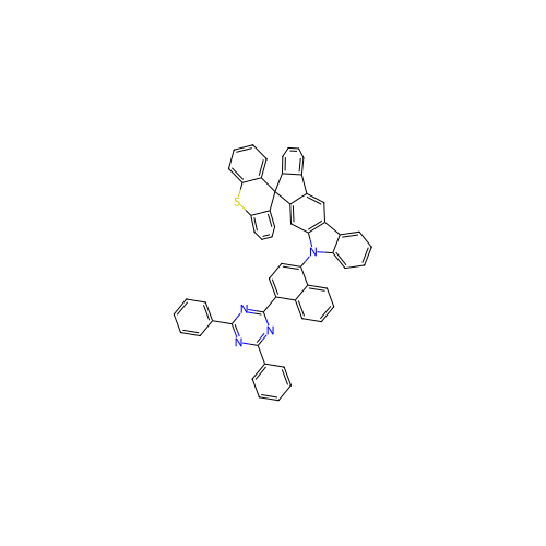 c1ccc(-c2nc(-c3ccccc3)nc(-c3ccc(-n4c5ccccc5c5cc6c(cc54)C4(c5ccccc5Sc5ccccc54)c4ccccc4-6)c4ccccc34)n2)cc1